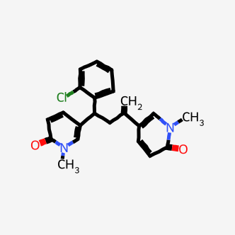 C=C(CC(c1ccc(=O)n(C)c1)c1ccccc1Cl)c1ccc(=O)n(C)c1